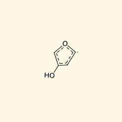 Oc1c[c]oc1